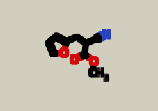 COC(=O)C(C#N)Cc1ccco1